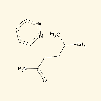 CC(C)CCC(N)=O.c1ccnnc1